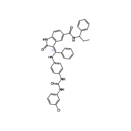 CCC(NC(=O)c1ccc2c(c1)/C(=C(/Nc1ccc(NC(=O)Nc3cccc(Cl)c3)cc1)c1ccccc1)C(=O)N2)c1ccccc1